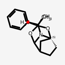 CC(c1ccccc1)N1C2OC(C)(C)O[C@]13CCC2C3